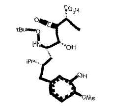 COc1ccc(C[C@@H](C[C@H](NOC(C)(C)C)[C@@H](O)C(=C=O)[C@@H](C)C(=O)O)C(C)C)cc1O